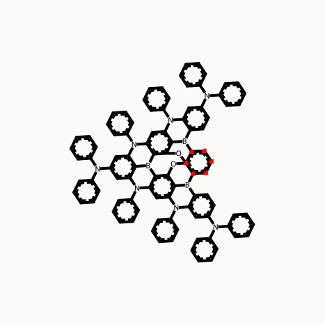 c1ccc(N(c2ccccc2)c2ccc3c(c2)N(c2ccccc2)c2cc4c(c5c2B3c2ccccc2O5)B2c3c(cc(N(c5ccccc5)c5ccccc5)cc3N(c3ccccc3)c3cc5c6c(c32)Oc2ccccc2B6c2ccc(N(c3ccccc3)c3ccccc3)cc2N5c2ccccc2)N4c2ccccc2)cc1